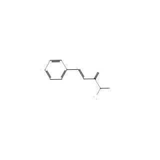 CC(N)C(=O)/C=C/c1ccccc1